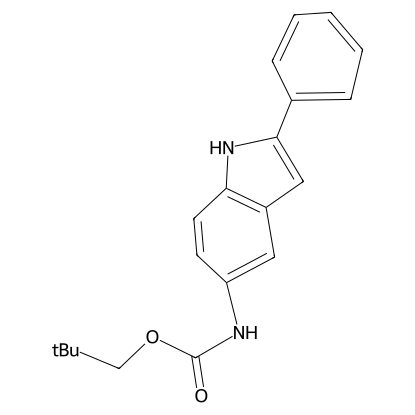 CC(C)(C)COC(=O)Nc1ccc2[nH]c(-c3ccccc3)cc2c1